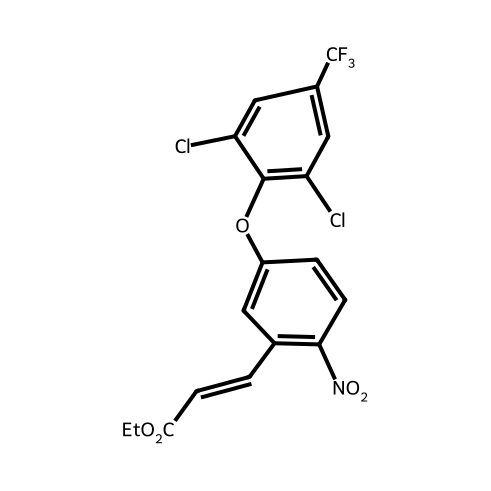 CCOC(=O)C=Cc1cc(Oc2c(Cl)cc(C(F)(F)F)cc2Cl)ccc1[N+](=O)[O-]